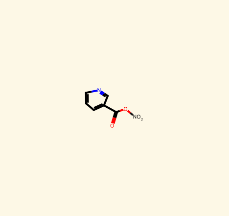 O=C(O[N+](=O)[O-])c1cccnc1